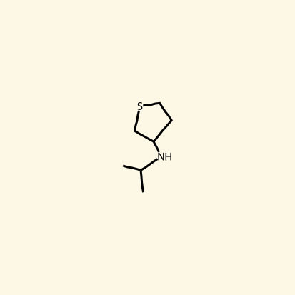 CC(C)NC1CCSC1